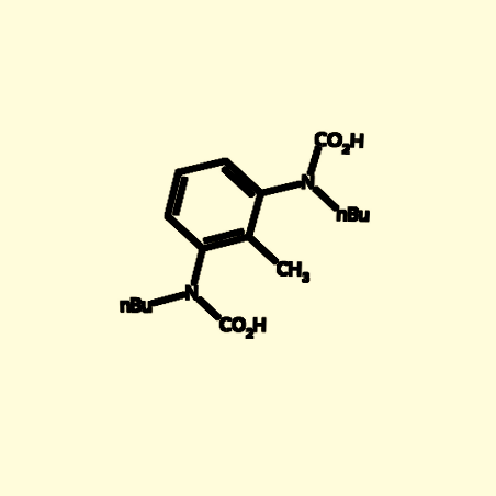 CCCCN(C(=O)O)c1cccc(N(CCCC)C(=O)O)c1C